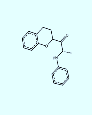 C[C@H](Nc1ccccc1)C(=O)C1CCc2ccccc2O1